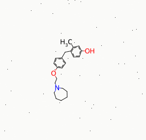 Cc1cc(O)ccc1Cc1ccc(OCCN2CCCCCC2)cc1